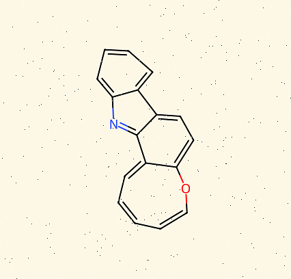 C1=CC=c2c(ccc3c2=Nc2ccccc2-3)OC=C1